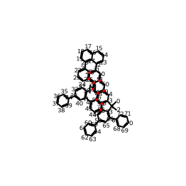 CC1(C)c2ccc(N(c3ccc(-c4cccc5cccc(-c6ccccc6)c45)cc3)c3ccc(-c4ccccc4)cc3-c3ccccc3-c3ccccc3)cc2-c2cc(-c3ccccc3)cc(-c3ccccc3)c21